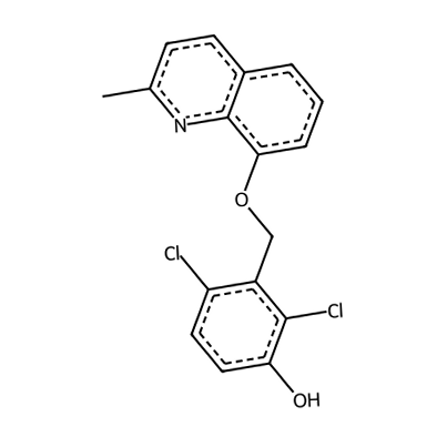 Cc1ccc2cccc(OCc3c(Cl)ccc(O)c3Cl)c2n1